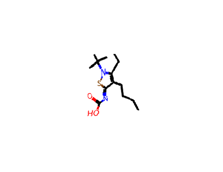 CCCCc1c(CC)n(C(C)(C)C)sc1=NC(=O)O